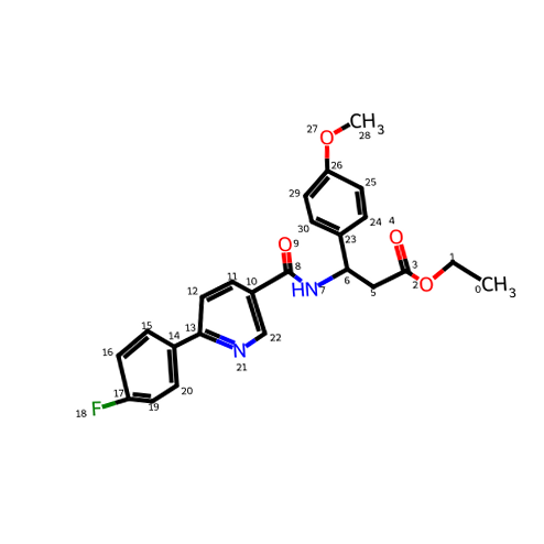 CCOC(=O)CC(NC(=O)c1ccc(-c2ccc(F)cc2)nc1)c1ccc(OC)cc1